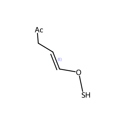 CC(=O)C/C=C/OS